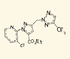 CCOC(=O)c1cc(Cn2ncc(C(F)(F)F)n2)nn1-c1ncccc1Cl